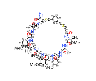 COc1ccc(C[C@@H]2NC(=O)[C@@H](CC(C)C)NC(=O)[C@H]([C@@H](C)OC)NC(=O)CCSCc3cccc(c3)CSC[C@@H](C(N)=O)NC(=O)[C@]3(C)CCCN3C(=O)[C@H](Cc3ccc(OC)cc3)NC(=O)[C@H]([C@@H](C)OC)NC(=O)[C@H](CC(C)C)N(C)C(=O)[C@H](Cc3ccc(OC)cc3)NC2=O)cc1